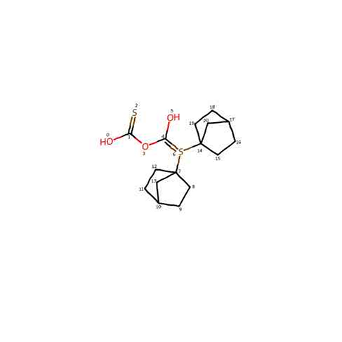 OC(=S)OC(O)=S(C12CCC(CC1)C2)C12CCC(CC1)C2